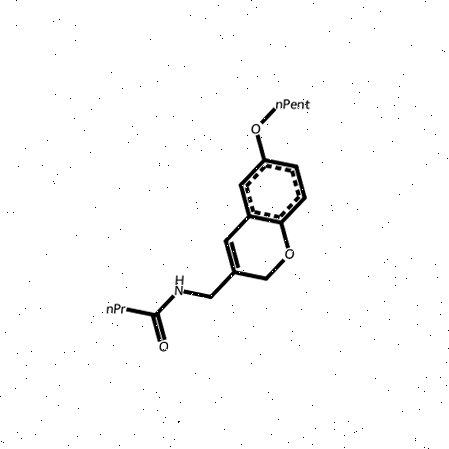 CCCCCOc1ccc2c(c1)C=C(CNC(=O)CCC)CO2